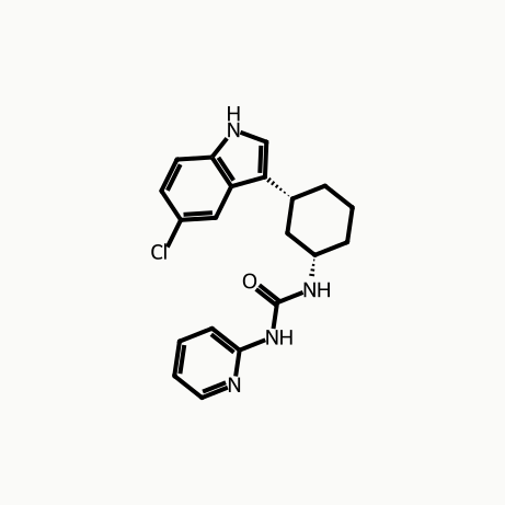 O=C(Nc1ccccn1)N[C@H]1CCC[C@@H](c2c[nH]c3ccc(Cl)cc23)C1